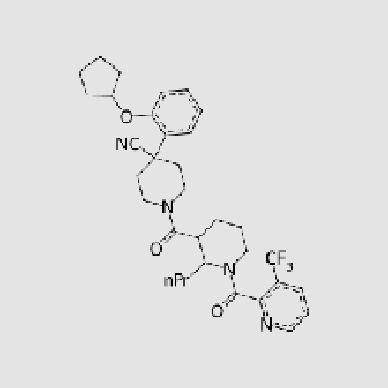 CCCC1C(C(=O)N2CCC(C#N)(c3ccccc3OC3CCCC3)CC2)CCCN1C(=O)c1ncccc1C(F)(F)F